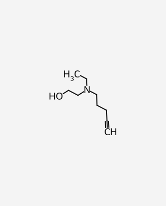 C#CCCCN(CC)CCO